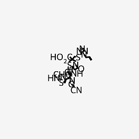 C=CCn1nnnc1SCC1(C(=O)O)CS[C@@H]2C(NC(=O)C(=NOCC#N)c3csc(NC=O)n3)C(=O)N2C1